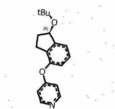 CC(C)(C)O[C@@H]1CCc2c(Oc3ccncc3)cccc21